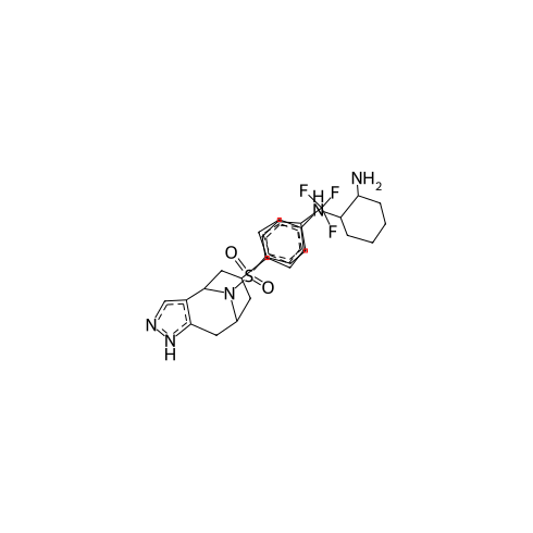 NC1CCCCC1Nc1ccc(C2CC3Cc4[nH]ncc4C(C2)N3S(=O)(=O)c2ccc(C(F)(F)F)cc2)cc1